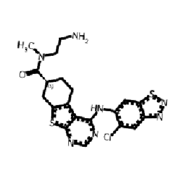 CN(CCN)C(=O)[C@H]1CCc2c(sc3ncnc(Nc4cc5snnc5cc4Cl)c23)C1